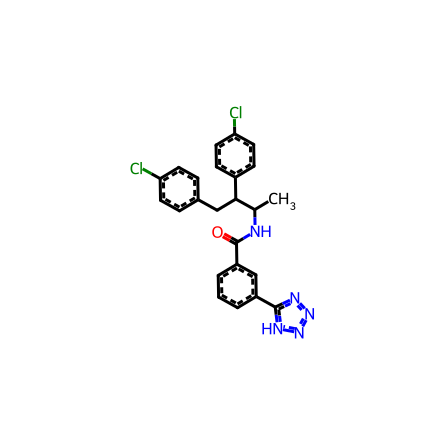 CC(NC(=O)c1cccc(-c2nnn[nH]2)c1)C(Cc1ccc(Cl)cc1)c1ccc(Cl)cc1